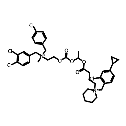 CC(OC(=O)CCC[N+]1(Cc2ccc(C3CC3)cc2Cl)CCCCC1)OC(=O)OCC[N+](C)(Cc1ccc(Cl)cc1)Cc1ccc(Cl)c(Cl)c1